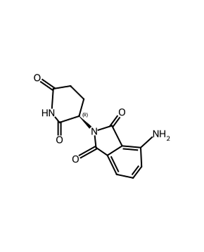 Nc1cccc2c1C(=O)N([C@@H]1CCC(=O)NC1=O)C2=O